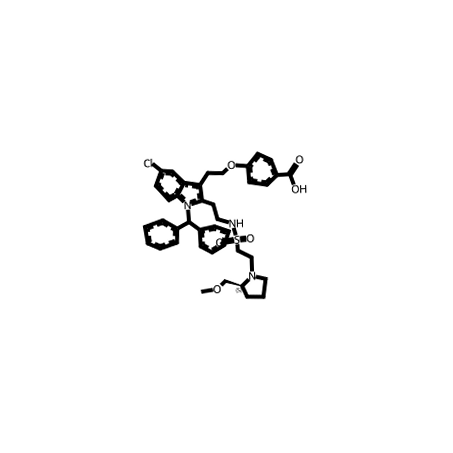 COC[C@@H]1CCCN1CCS(=O)(=O)NCCc1c(CCOc2ccc(C(=O)O)cc2)c2cc(Cl)ccc2n1C(c1ccccc1)c1ccccc1